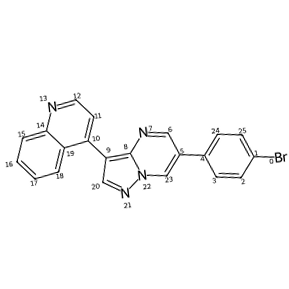 Brc1ccc(-c2cnc3c(-c4ccnc5ccccc45)cnn3c2)cc1